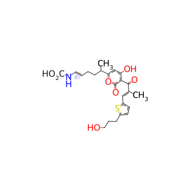 CC(=Cc1ccc(CCCO)s1)C(=O)c1c(O)cc(C(C)CC/C=C/NC(=O)O)oc1=O